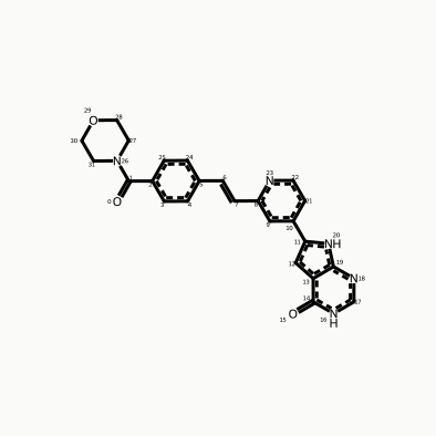 O=C(c1ccc(/C=C/c2cc(-c3cc4c(=O)[nH]cnc4[nH]3)ccn2)cc1)N1CCOCC1